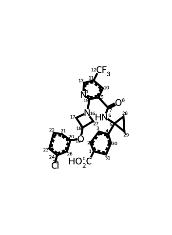 O=C(O)c1ccc(C2(NC(=O)c3cc(C(F)(F)F)cnc3N3CC(Oc4cccc(Cl)c4)C3)CC2)cc1